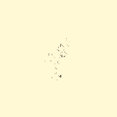 O[C@@H]1[C@H](O)[C@@H](C=CC2CCCCN2)O[C@H]1n1cnc2c(NC3CCCC3)ncnc21